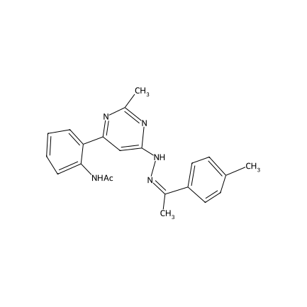 CC(=O)Nc1ccccc1-c1cc(NN=C(C)c2ccc(C)cc2)nc(C)n1